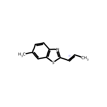 C/C=C/c1nc2ccc(C)cc2s1